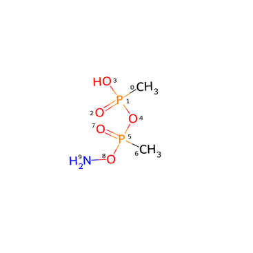 CP(=O)(O)OP(C)(=O)ON